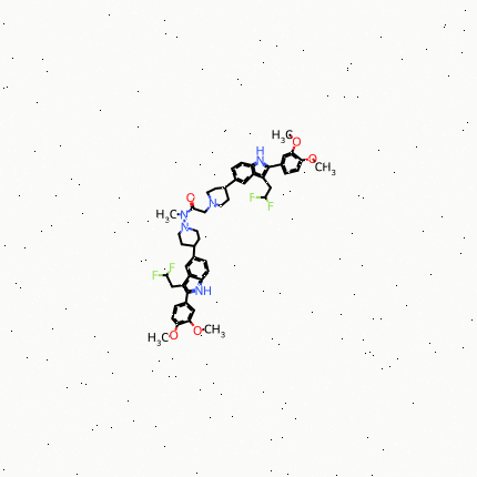 COc1ccc(-c2[nH]c3ccc(C4CCN(CC(=O)N(C)N5CCC(c6ccc7[nH]c(-c8ccc(OC)c(OC)c8)c(CC(F)F)c7c6)CC5)CC4)cc3c2CC(F)F)cc1OC